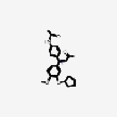 COc1ccc(/C(=C/C(C)=O)c2ccc(NC(C)=O)cc2)cc1OC1CCCC1